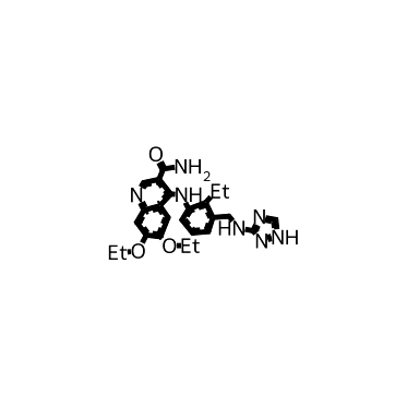 CCOc1cc2ncc(C(N)=O)c(Nc3cccc(CNc4nc[nH]n4)c3CC)c2cc1OCC